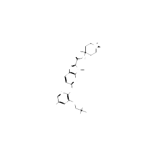 Cn1c(C(=O)NC2(C)CCS(=O)(=O)CC2)nc2ccc(Oc3ncc(F)cc3OCC(C)(F)F)nc21